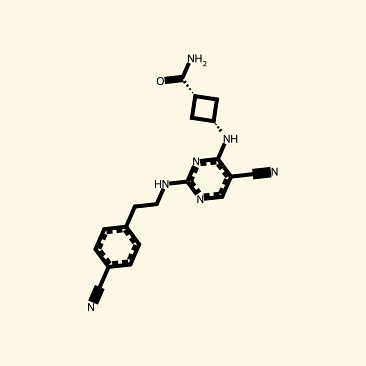 N#Cc1ccc(CCNc2ncc(C#N)c(N[C@H]3C[C@@H](C(N)=O)C3)n2)cc1